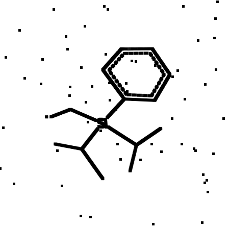 [CH2]C[Si](c1ccccc1)(C(C)C)C(C)C